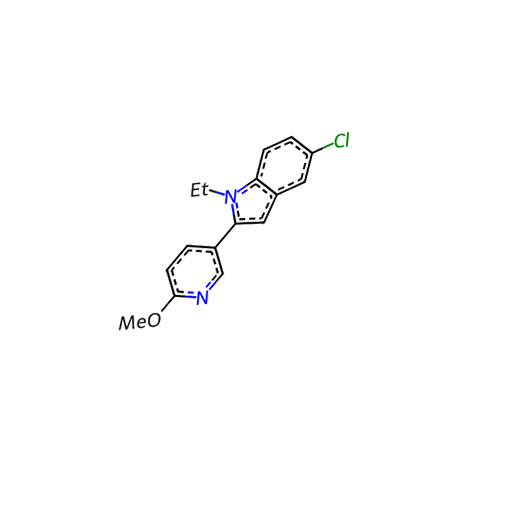 CCn1c(-c2ccc(OC)nc2)cc2cc(Cl)ccc21